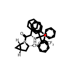 N#C[C@@H]1C[C@@H]2C[C@@H]2N1C(=O)[C@@H](NC(c1ccccc1)(c1ccccc1)c1ccccc1)C12CC3CC(CC(OC(=O)C(F)(F)F)(C3)C1)C2